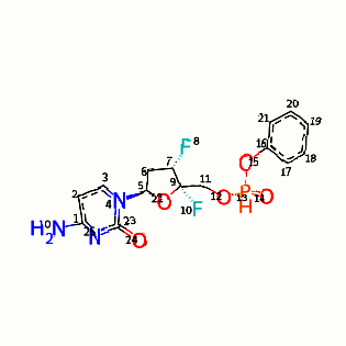 Nc1ccn([C@H]2C[C@H](F)[C@@](F)(CO[PH](=O)Oc3ccccc3)O2)c(=O)n1